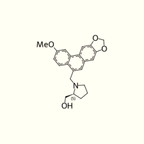 COc1ccc2c(CN3CCC[C@H]3CO)cc3cc4c(cc3c2c1)OCO4